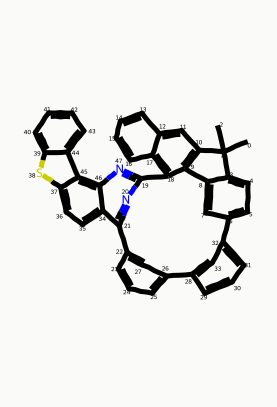 CC1(C)c2ccc3cc2c2c1cc1ccccc1c2c1nc(c2cccc(c2)c2cccc3c2)c2ccc3sc4ccccc4c3c2n1